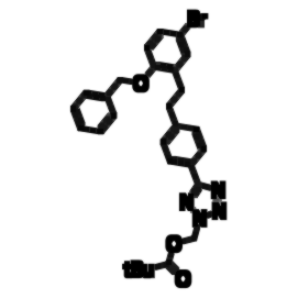 CC(C)(C)C(=O)OCn1nnc(-c2ccc(CCc3cc(Br)ccc3OCc3ccccc3)cc2)n1